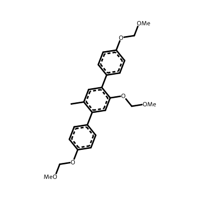 COCOc1ccc(-c2cc(OCOC)c(-c3ccc(OCOC)cc3)cc2C)cc1